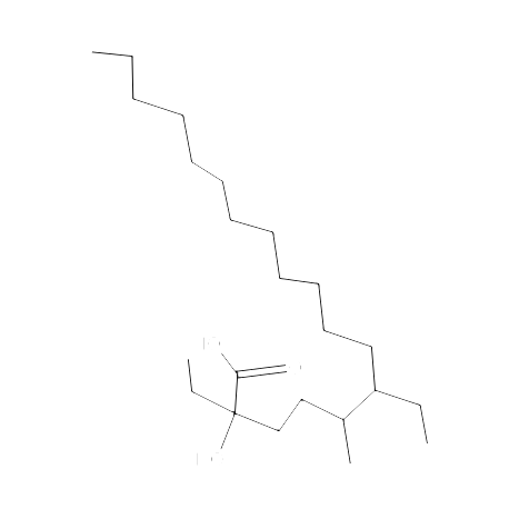 CCCCCCCCCCCCC(CC)C(C)CCC(O)(CC)C(=O)O